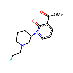 COC(=O)c1cccn([C@@H]2CCCN(CCF)C2)c1=O